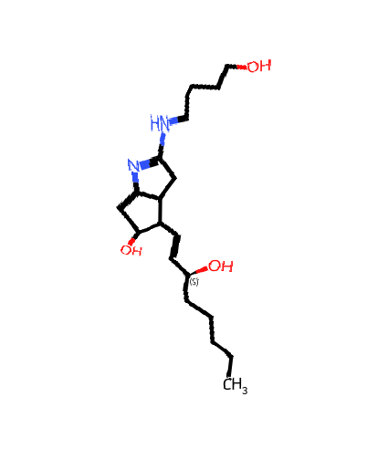 CCCCC[C@H](O)C=CC1C(O)CC2N=C(NCCCCO)CC21